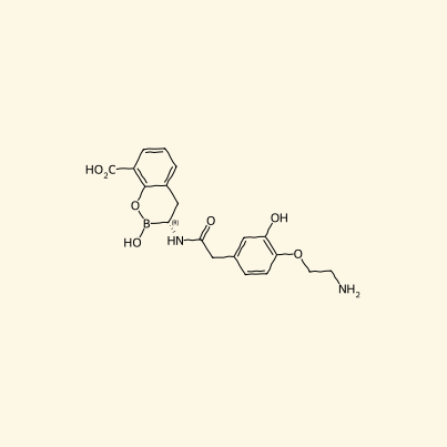 NCCOc1ccc(CC(=O)N[C@H]2Cc3cccc(C(=O)O)c3OB2O)cc1O